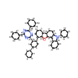 c1ccc(-c2ccc(-c3cccc4c3oc3c4ccc4c3c3ccccc3n4-c3ccccc3)c(-c3nc(-c4ccccc4)nc(-c4ccccc4)n3)c2)cc1